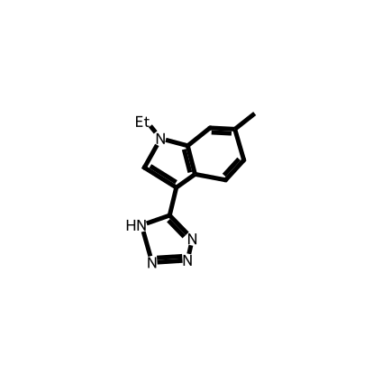 CCn1cc(-c2nnn[nH]2)c2ccc(C)cc21